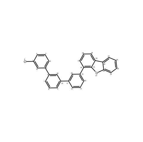 Clc1cccc(-c2cccc(-c3cccc(-c4cccc5c4oc4ccccc45)c3)c2)c1